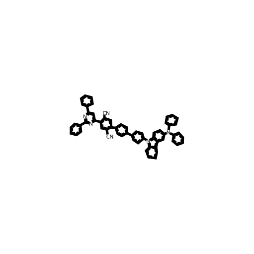 N#Cc1cc(-c2cc(-c3ccccc3)nc(-c3ccccc3)n2)c(C#N)cc1-c1ccc(-c2ccc(-n3c4ccccc4c4cc(N(c5ccccc5)c5ccccc5)ccc43)cc2)cc1